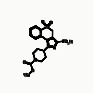 CCOC(=O)c1nn(C2CCN(C(=O)OC(C)(C)C)CC2)c2c1CS(=O)(=O)c1ccccc1-2